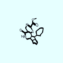 COC(=O)C1=NCC2=C(S1)C1=C(C3CCCCC3)C3=CC=CC3C1=CNC2=O